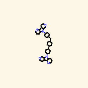 c1cnc2c3ccncc3n(-c3ccc(Cc4ccc(-c5ccc(-n6c7cnccc7c7ncccc76)cc5)cc4)cc3)c2c1